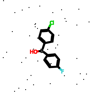 OB(c1ccc(F)cc1)c1ccc(Cl)cc1